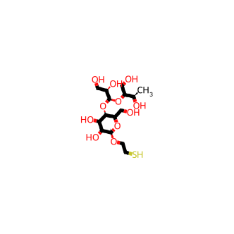 C[C@H](O)C(CO)O[C@@H](O[C@@H]1C(CO)O[C@@H](OCCS)C(O)C1O)[C@@H](O)CO